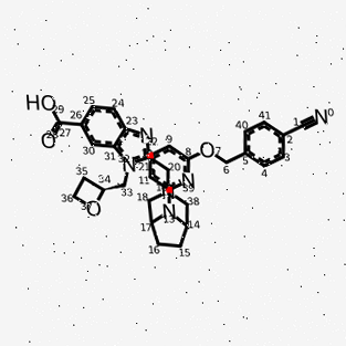 N#Cc1ccc(COc2cccc(N3C4CCC3CN(Cc3nc5ccc(C(=O)O)cc5n3C[C@@H]3CCO3)C4)n2)cc1